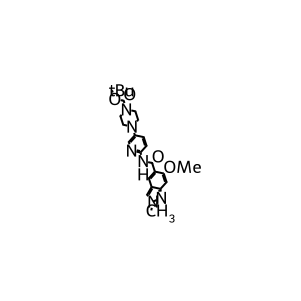 COc1cc2nn(C)cc2cc1C(=O)Nc1ccc(N2CCN(C(=O)OC(C)(C)C)CC2)cn1